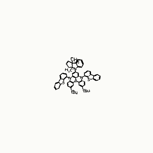 CC(C)(C)c1ccc2c(c1)B1c3cc(C(C)(C)C)ccc3N(c3cccc4c3sc3ccccc34)c3cc(N4c5ccccc5C5(C)CCCC45C)cc(c31)N2c1cccc2c1sc1ccccc12